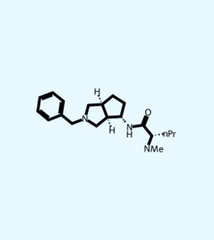 CCC[C@H](NC)C(=O)N[C@H]1CC[C@@H]2CN(Cc3ccccc3)C[C@@H]21